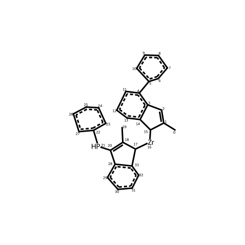 CC1=Cc2c(-c3ccccc3)cccc2[CH]1[Zr][CH]1C(C)=C(Pc2ccccc2)c2ccccc21